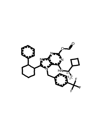 C[C@@H](Nc1nc(OC=O)nc2nc(C3CCCCC3c3ccccc3)n(Cc3ccc(C(F)(F)F)cc3)c12)C1CCC1